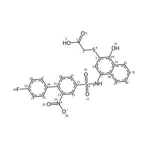 O=C(O)CSc1cc(NS(=O)(=O)c2ccc(-c3ccc(F)cc3)c([N+](=O)[O-])c2)c2ccccc2c1O